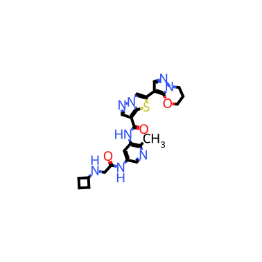 Cc1ncc(NC(=O)CNC2CCC2)cc1NC(=O)c1cnn2cc(-c3cnn4c3OCCC4)sc12